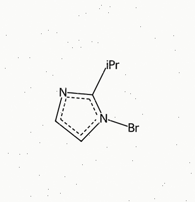 CC(C)c1nccn1Br